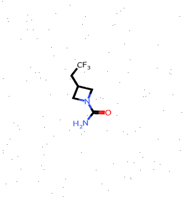 NC(=O)N1CC(CC(F)(F)F)C1